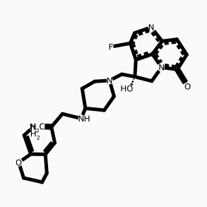 C=C(/C=C1/CCCO/C1=C/N)CNC1CCN(C[C@]2(O)Cn3c(=O)ccc4ncc(F)c2c43)CC1